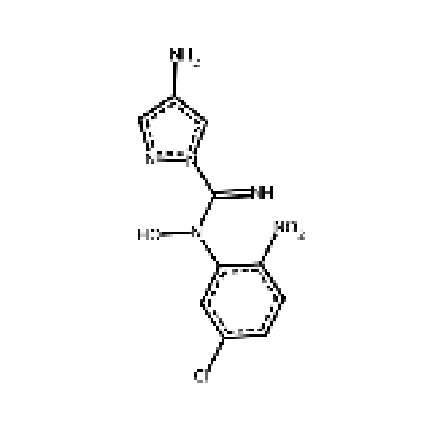 N=C(N(O)c1cc(Cl)ccc1[N+](=O)[O-])n1cc(N)cn1